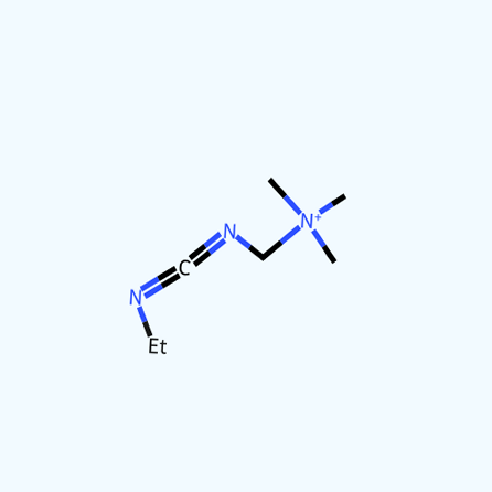 CCN=C=NC[N+](C)(C)C